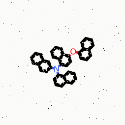 c1ccc2cc(N(c3cccc4ccccc34)c3ccc(Oc4cccc5ccccc45)c4ccccc34)ccc2c1